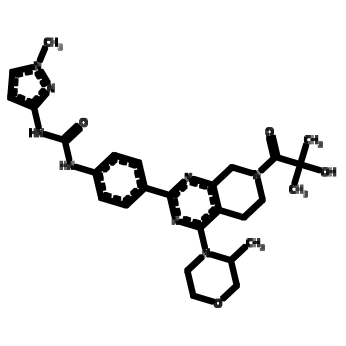 CC1COCCN1c1nc(-c2ccc(NC(=O)Nc3ccn(C)n3)cc2)nc2c1CCN(C(=O)C(C)(C)O)C2